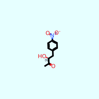 CC(=O)[C@@H](O)Cc1ccc([N+](=O)[O-])cc1